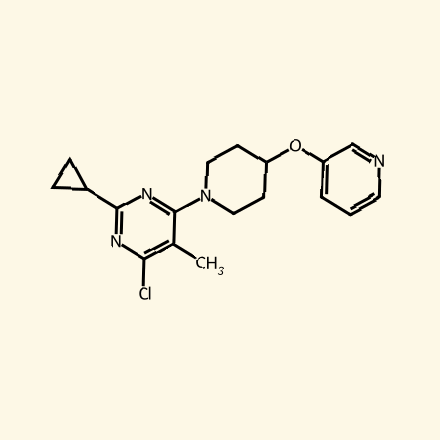 Cc1c(Cl)nc(C2CC2)nc1N1CCC(Oc2cccnc2)CC1